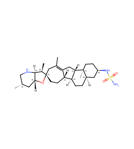 CC1=C2C[C@H]3[C@@H](CC[C@@H]4C[C@H](NS(N)(=O)=O)CC[C@@]43C)[C@@H]2CC[C@@]2(C1)O[C@@H]1C[C@H](C)CN[C@H]1[C@H]2C